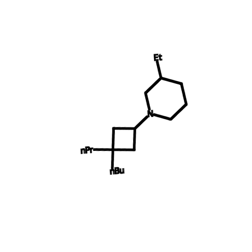 CCCCC1(CCC)CC(N2CCCC(CC)C2)C1